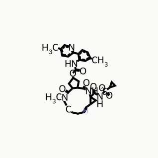 Cc1ccc(-c2ccc(C)cc2NC(=O)OC2CC3C(=O)NC4(C(=O)NS(=O)(=O)C5CC5)CC4/C=C/CCCCN(C)C(=O)C3C2)nc1